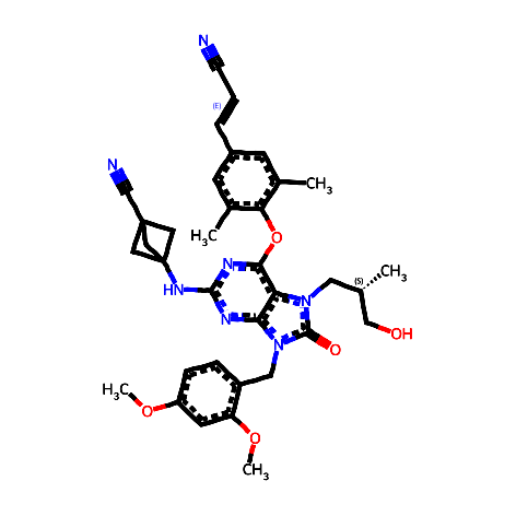 COc1ccc(Cn2c(=O)n(C[C@H](C)CO)c3c(Oc4c(C)cc(/C=C/C#N)cc4C)nc(NC45CC(C#N)(C4)C5)nc32)c(OC)c1